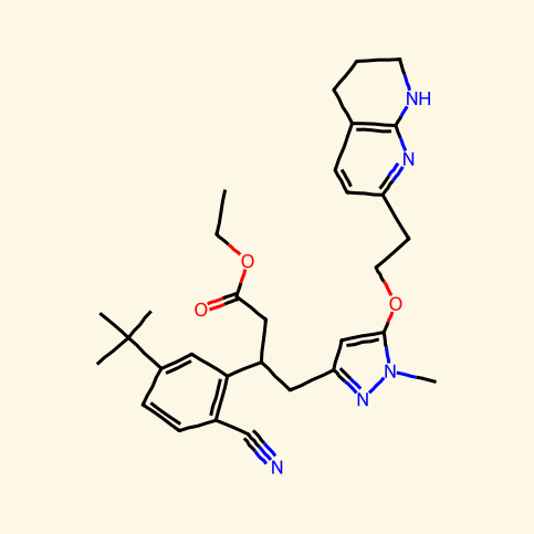 CCOC(=O)CC(Cc1cc(OCCc2ccc3c(n2)NCCC3)n(C)n1)c1cc(C(C)(C)C)ccc1C#N